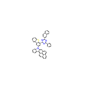 c1ccc(-c2nc(-c3ccc4ccccc4c3)nc(-c3cc(-n4c5ccccc5c5c6ccc7cccc8ccc(cc54)c6c87)cc4c3sc3ccccc34)n2)cc1